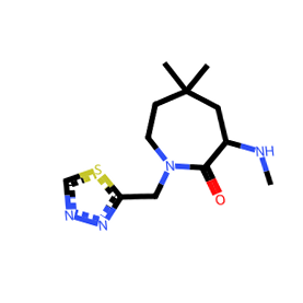 CNC1CC(C)(C)CCN(Cc2nncs2)C1=O